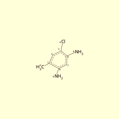 [CH2]c1cc(Cl)c(N)cc1N